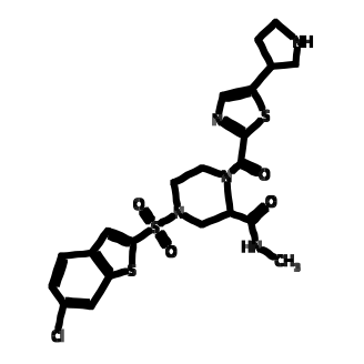 CNC(=O)C1CN(S(=O)(=O)c2cc3ccc(Cl)cc3s2)CCN1C(=O)c1ncc(C2CCNC2)s1